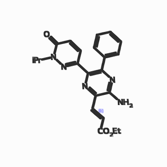 CCOC(=O)/C=C/c1nc(-c2ccc(=O)n(C(C)C)n2)c(-c2ccccc2)nc1N